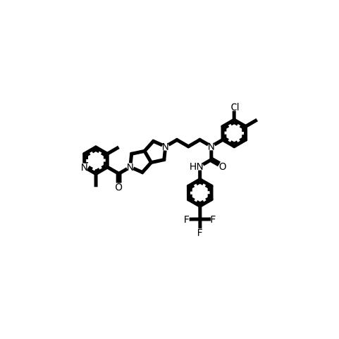 Cc1ccc(N(CCCN2CC3CN(C(=O)c4c(C)ccnc4C)CC3C2)C(=O)Nc2ccc(C(F)(F)F)cc2)cc1Cl